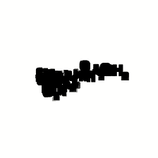 BOCCCC(=O)NCc1ccc([N+](=O)[O-])c(C(C)OP(=O)(O)OS)c1